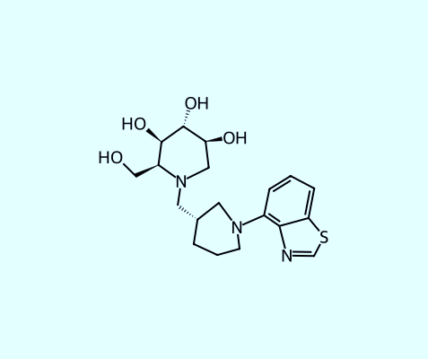 OC[C@H]1[C@@H](O)[C@H](O)[C@@H](O)CN1C[C@H]1CCCN(c2cccc3scnc23)C1